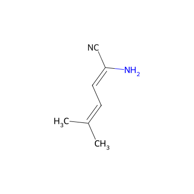 CC(C)=C/C=C(\N)C#N